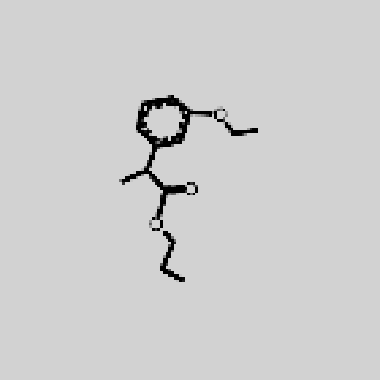 CCCOC(=O)C(C)c1cccc(OCC)c1